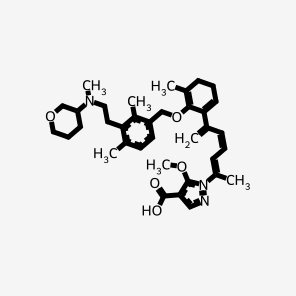 C=C(/C=C\C=C(/C)n1ncc(C(=O)O)c1OC)C1=CCCC(C)=C1OCc1ccc(C)c(CCN(C)C2CCCOC2)c1C